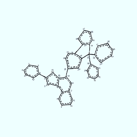 c1ccc(-c2nc3c4ccccc4cc(-c4ccc5c(c4)C(c4ccccc4)(c4ccccc4)c4ccccc4-5)n3n2)cc1